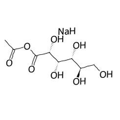 CC(=O)OC(=O)[C@H](O)[C@@H](O)[C@H](O)[C@H](O)CO.[NaH]